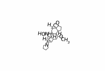 COC1CC2CC(N3CCCC3)CC(=NO)[C@]2(C)[C@@H]2CC[C@]3(C)C(=O)CC[C@H]3[C@H]12